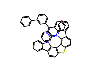 c1ccc(-c2cccc(-c3nc(-n4c5ccccc5c5ccc6sc7ccc8c9ccccc9n(-c9ccccc9)c8c7c6c54)nc4ccccc34)c2)cc1